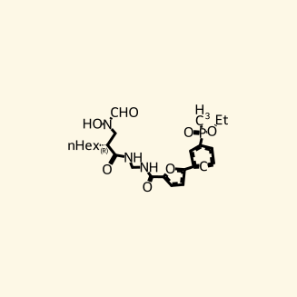 CCCCCC[C@H](CN(O)C=O)C(=O)NCNC(=O)c1ccc(-c2cccc(P(C)(=O)OCC)c2)o1